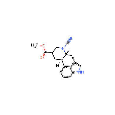 COC(=O)[C@@H]1C[C@@H]2c3cccc4[nH]cc(c34)C[C@H]2N(C#N)C1